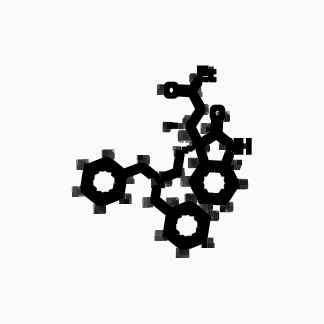 CCC(=O)C[C@@H](C)[C@@]1(CCN(Cc2ccccc2)Cc2ccccc2)C(=O)Nc2ccccc21